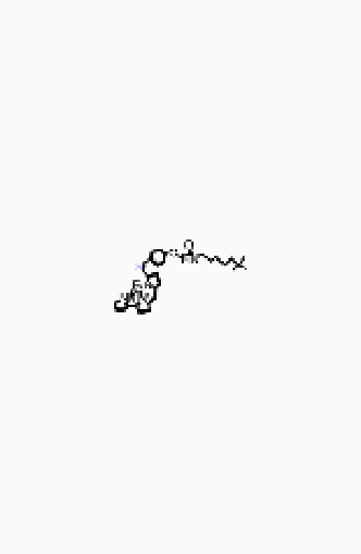 CC(C)(C)CCCCCNC(=O)COc1ccc(/C=C\c2ccc3n2[B-](F)(F)[N+]2=C(c4ccc[nH]4)C=CC2=C3)cc1